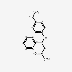 CNC(=O)CC(Oc1ccc(OC(F)(F)F)cc1)c1ccccc1